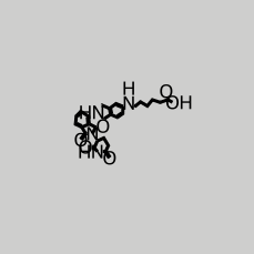 O=C(O)CCCCCNc1ccc2c(c1)CNC2OC1c2ccccc2C(=O)N1C1CCC(=O)NC1=O